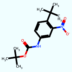 CC(C)(C)OC(=O)Nc1ccc(C(C)(C)C)c([N+](=O)[O-])c1